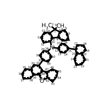 CC1(C)c2ccccc2-c2c(N(c3ccc(-c4cccc5ccccc45)cc3)c3ccc(-c4cc5ccccc5c5oc6ccccc6c45)cc3)cccc21